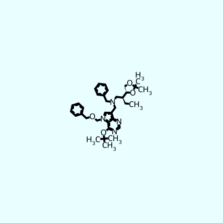 CC[C@@H](CN(Cc1ccccc1)Cc1cn(COCc2ccccc2)c2c(OC(C)(C)C)ncnc12)[C@@H]1COC(C)(C)O1